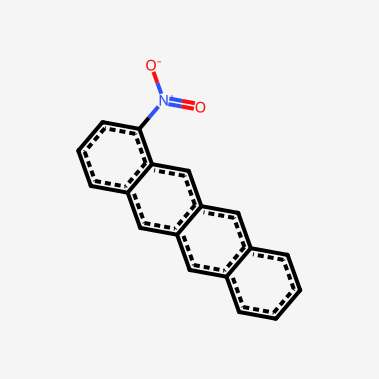 O=[N+]([O-])c1cccc2cc3cc4ccccc4cc3cc12